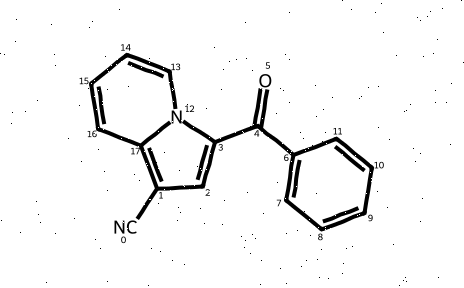 N#Cc1cc(C(=O)c2ccccc2)n2ccccc12